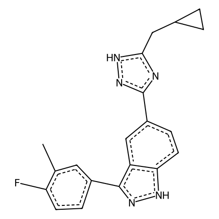 Cc1cc(-c2n[nH]c3ccc(-c4n[nH]c(CC5CC5)n4)cc23)ccc1F